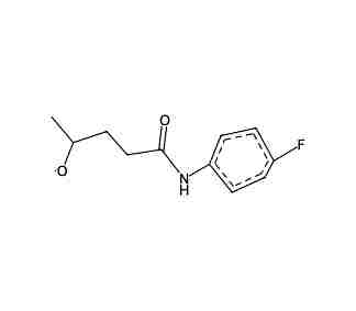 CC([O])CCC(=O)Nc1ccc(F)cc1